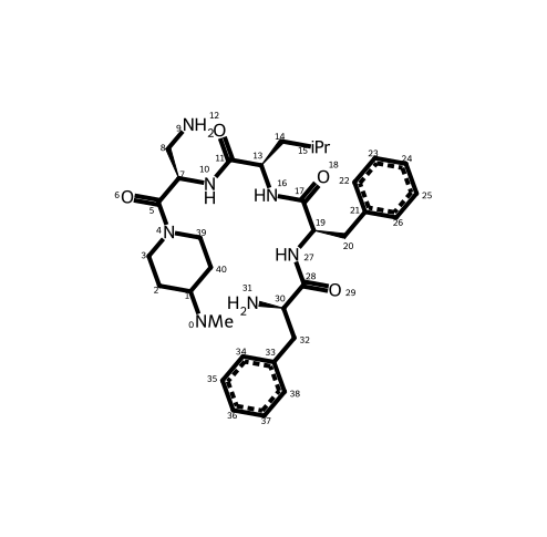 CNC1CCN(C(=O)[C@@H](CN)NC(=O)[C@@H](CC(C)C)NC(=O)[C@@H](Cc2ccccc2)NC(=O)[C@H](N)Cc2ccccc2)CC1